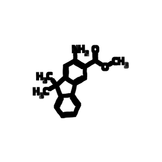 COC(=O)c1cc2c(cc1N)C(C)(C)c1ccccc1-2